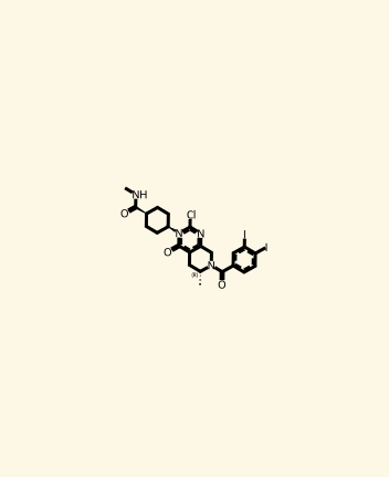 CNC(=O)[C@H]1CC[C@@H](n2c(Cl)nc3c(c2=O)C[C@@H](C)N(C(=O)c2ccc(I)c(I)c2)C3)CC1